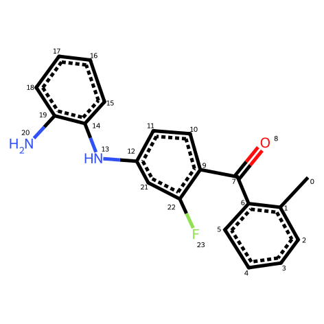 Cc1ccccc1C(=O)c1ccc(Nc2ccccc2N)cc1F